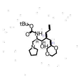 C=C/C=C(\C=C1/COCCO1)[C@@H](O)[C@@H](CN1CCCC1)NC(=O)OC(C)(C)C